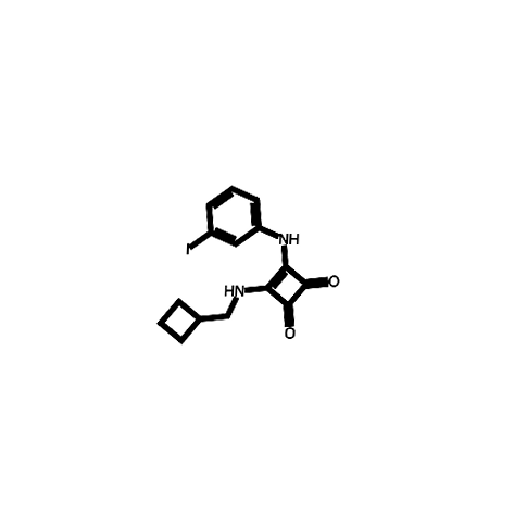 O=c1c(NCC2CCC2)c(Nc2cccc(I)c2)c1=O